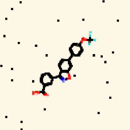 O=C(O)c1cccc(-c2noc3cc(-c4ccc(OC(F)(F)F)cc4)ccc23)c1